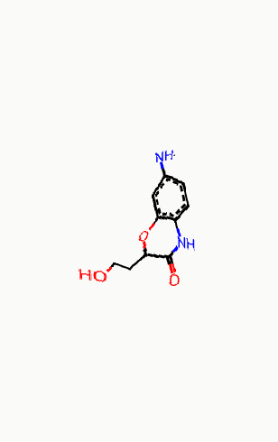 [NH]c1ccc2c(c1)OC(CCO)C(=O)N2